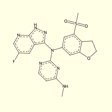 CNc1ccnc(N(c2cc3c(c(S(C)(=O)=O)c2)CCO3)c2n[nH]c3ncc(F)cc23)n1